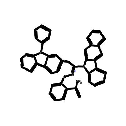 C=C(N)c1ccccc1S/N=C(\Cc1ccc2c3ccccc3n(-c3ccccc3)c2c1)n1c2ccccc2c2cc3ccccc3cc21